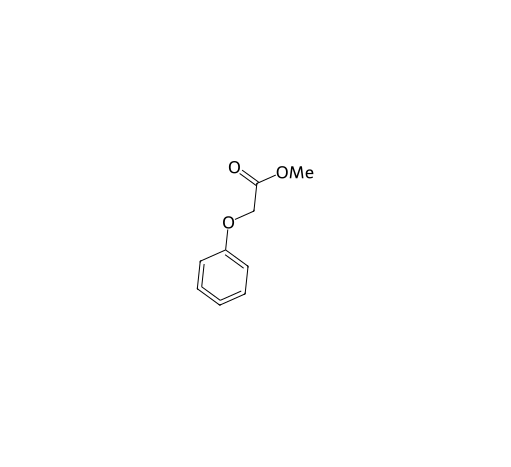 COC(=O)COC1=CC=C=C=C1